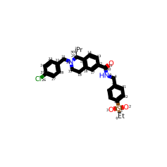 CCS(=O)(=O)c1ccc(CNC(=O)c2ccc3c(c2)CCN(Cc2ccc(Cl)cc2)[C@@H]3C(C)C)cc1